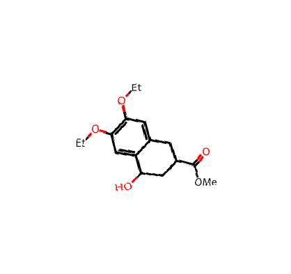 CCOc1cc2c(cc1OCC)C(O)CC(C(=O)OC)C2